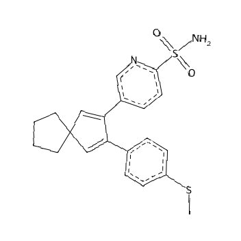 CSc1ccc(C2=CC3(C=C2c2ccc(S(N)(=O)=O)nc2)CCCC3)cc1